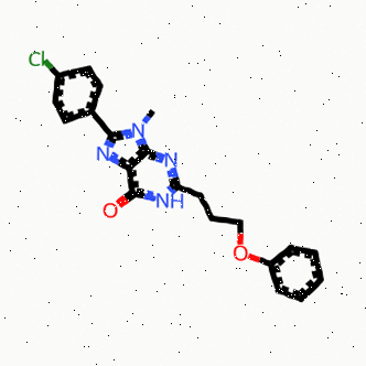 Cn1c(-c2ccc(Cl)cc2)nc2c(=O)[nH]c(CCCOc3ccccc3)nc21